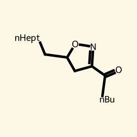 CCCCCCCCC1CC(C(=O)CCCC)=NO1